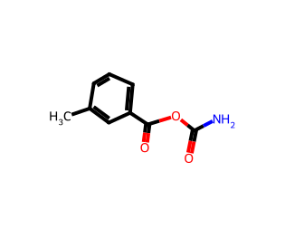 Cc1cccc(C(=O)OC(N)=O)c1